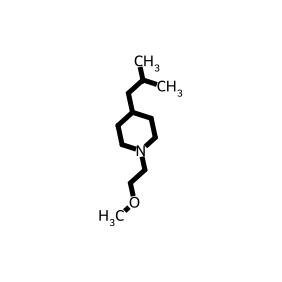 COCCN1CCC(C[C](C)C)CC1